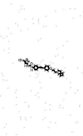 CC(C)(C)c1cc(NC(=O)Nc2ccc(C#Cc3ccc(OCCCN4CCC5(CCC5)C4)cc3)cc2)no1